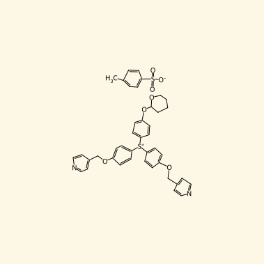 Cc1ccc(S(=O)(=O)[O-])cc1.c1cc(COc2ccc([S+](c3ccc(OCc4ccncc4)cc3)c3ccc(OC4CCCCO4)cc3)cc2)ccn1